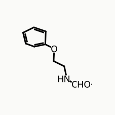 O=[C]NCCOc1ccccc1